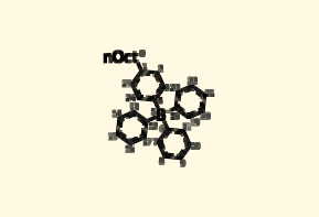 CCCCCCCCc1ccc([B-](c2ccccc2)(c2ccccc2)c2ccccc2)cc1